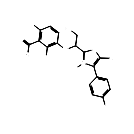 CN1C(c2ccc(C(F)(F)F)cc2)=C(Br)OC1C(CO)Oc1ccc(F)c(C(N)=O)c1F